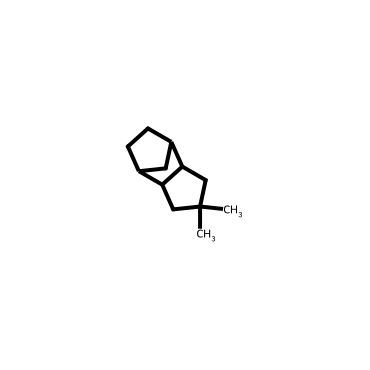 CC1(C)CC2C3CCC(C3)C2C1